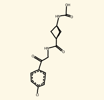 O=C(O)NC12CC(C(=O)NCC(=O)c3ccc(Cl)cc3)(C1)C2